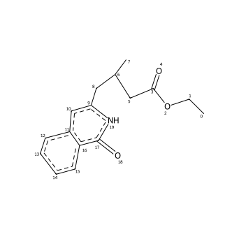 CCOC(=O)CC(C)Cc1cc2ccccc2c(=O)[nH]1